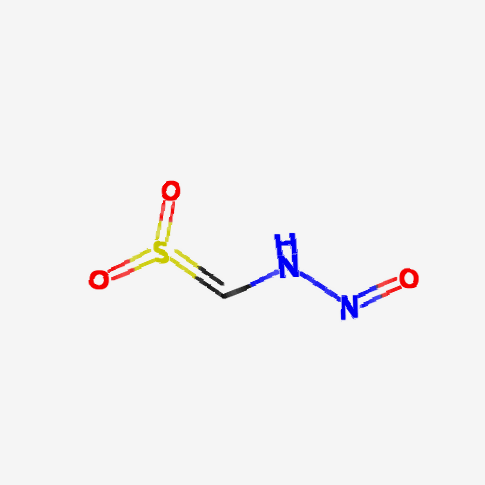 O=NNC=S(=O)=O